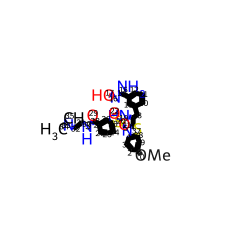 COc1ccc2nc(C(Cc3cccc(C(N)=NO)c3)NS(=O)(=O)c3cccc(C(=O)NCCN(C)C)c3)sc2c1